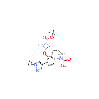 COC(=O)N1c2ccc(-c3cnn(C4CC4)c3)c(OC3CC(C(=O)OC(C)(C)C)N3)c2CC[C@@H]1C